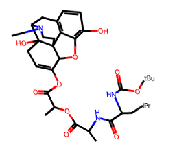 CC(C)CC(NC(=O)OC(C)(C)C)C(=O)NC(C)C(=O)OC(C)C(=O)OC1=CCC2(O)C3Cc4ccc(O)c5c4C2(CCN3C)C1O5